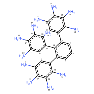 Nc1cc(-c2cccc(-c3cc(N)c(N)c(N)c3N)c2-c2cc(N)c(N)c(N)c2N)c(N)c(N)c1N